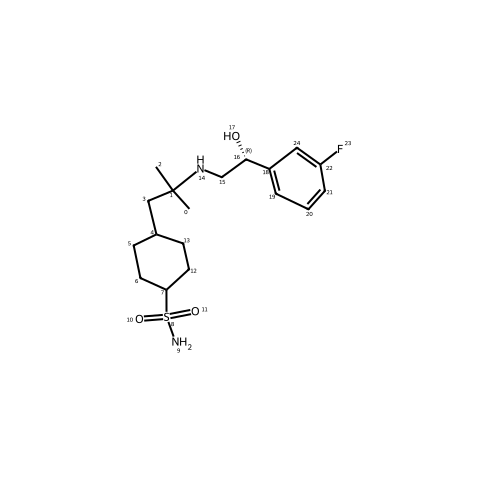 CC(C)(CC1CCC(S(N)(=O)=O)CC1)NC[C@H](O)c1cccc(F)c1